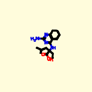 CCC(CC(C)C)(Nc1nc(N)nc2c1CCCC2)C(=O)O